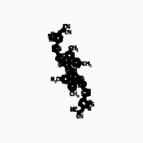 Cc1ccc(C2(c3ccc(C)cc3)c3c(sc4cc(-c5ccc(-c6ccc(C=C(C#N)C#N)c7nsnc67)s5)sc34)-c3sc4c5c(sc4c32)-c2sc3cc(-c4ccc(-c6ccc(C=C(C#N)C#N)c7nsnc67)s4)sc3c2C5(c2ccc(C)cc2)c2ccc(C)cc2)cc1